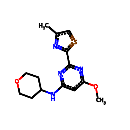 COc1cc(NC2CCOCC2)nc(-c2nc(C)cs2)n1